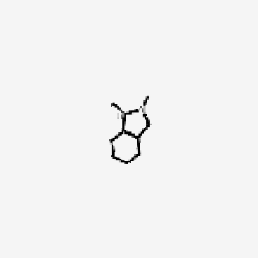 C[C@@H]1C2CCCCC2CN1C